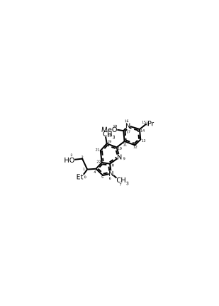 CCC(CO)c1cn(C)c2nc(-c3ccc(C(C)C)nc3OC)c(C)cc12